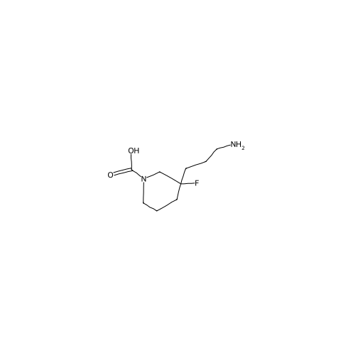 NCCCC1(F)CCCN(C(=O)O)C1